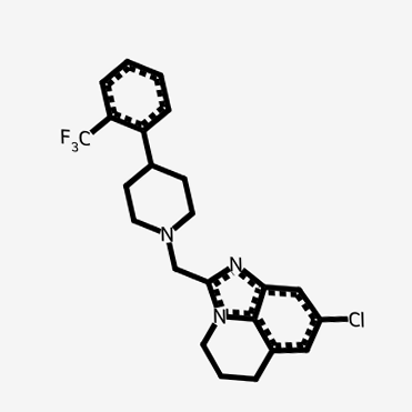 FC(F)(F)c1ccccc1C1CCN(Cc2nc3cc(Cl)cc4c3n2CCC4)CC1